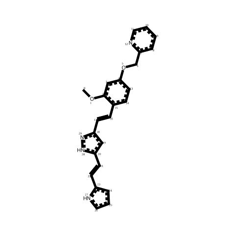 COc1cc(OCc2ccccn2)ccc1C=Cc1cc(C=Cc2ccc[nH]2)[nH]n1